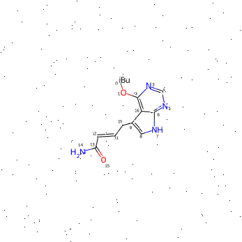 CCC(C)Oc1ncnc2[nH]cc(C/C=C/C(N)=O)c12